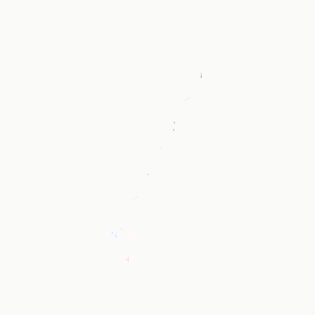 CCC=CCC=CCC=CCC=CCC=CCC=CCCC(=O)NC(C)CO